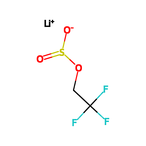 O=S([O-])OCC(F)(F)F.[Li+]